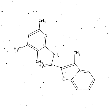 C=C(Nc1nc(C)cc(C)c1C)c1oc2ccccc2c1C